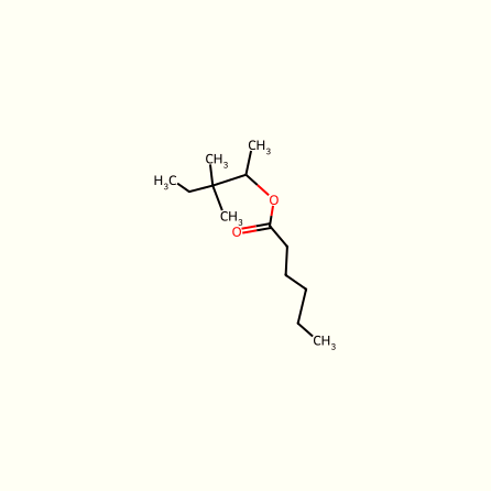 CCCCCC(=O)OC(C)C(C)(C)CC